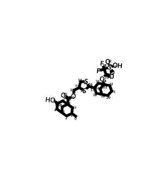 CC1CC2CC(O)CC(C(=O)OCC3CSC(C4CC5CCCC(OC(=O)C(F)(F)S(=O)(=O)O)(C5)C4)S3)(C1)C2